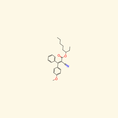 CCCCCC(CC)OC(=O)C(C#N)=C(c1ccccc1)c1ccc(OC)cc1